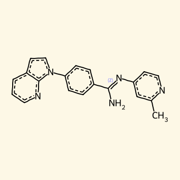 Cc1cc(/N=C(\N)c2ccc(-n3ccc4cccnc43)cc2)ccn1